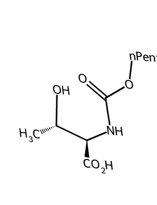 CCCCCOC(=O)N[C@@H](C(=O)O)[C@H](C)O